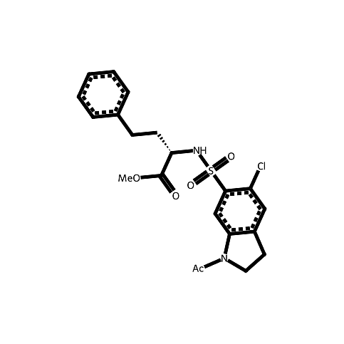 COC(=O)[C@H](CCc1ccccc1)NS(=O)(=O)c1cc2c(cc1Cl)CCN2C(C)=O